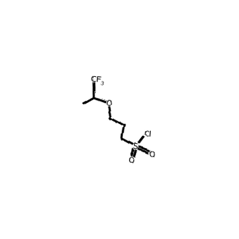 CC(OCCCS(=O)(=O)Cl)C(F)(F)F